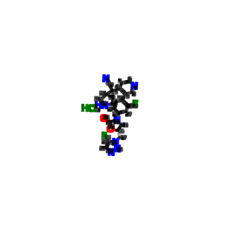 Cl.N#CC1(c2ccncc2-c2ccc(N3C[C@H](Cn4nncc4F)OC3=O)cc2F)C2CNCC21